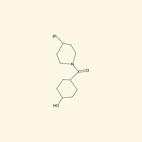 CC(C)C1CCN(C(=O)C2CCC(O)CC2)CC1